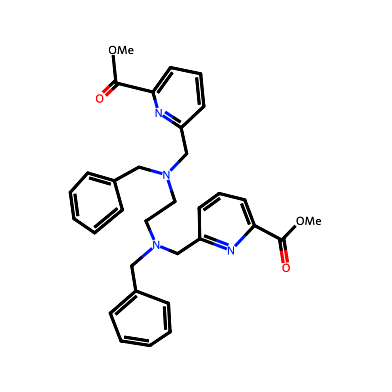 COC(=O)c1cccc(CN(CCN(Cc2ccccc2)Cc2cccc(C(=O)OC)n2)Cc2ccccc2)n1